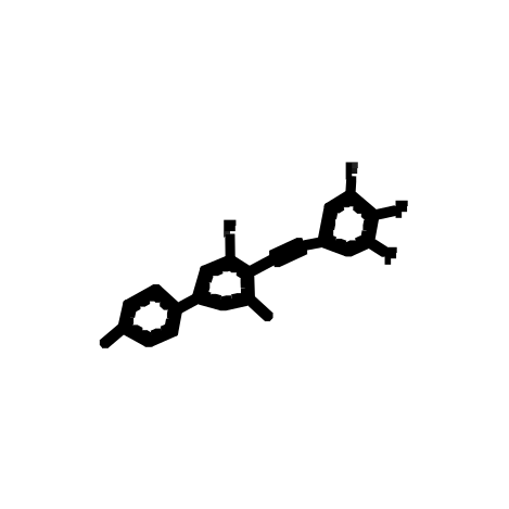 Cc1ccc(-c2cc(C)c(C#Cc3cc(F)c(F)c(F)c3)c(F)c2)cc1